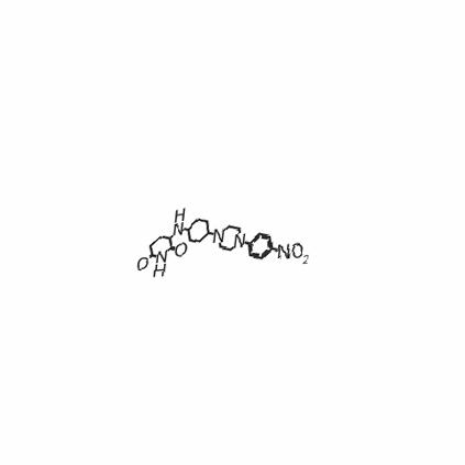 O=C1CCC(NC2CCC(N3CCN(c4ccc([N+](=O)[O-])cc4)CC3)CC2)C(=O)N1